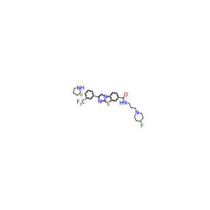 O=C(NCCCN1CCC(F)CC1)c1ccc2c(c1)sc1nc(-c3ccc([C@@H]4CCCN4)c(C(F)(F)F)c3)cn12